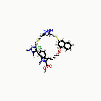 COC(=O)c1c2c3ccc(Cl)c(c3n1C)-c1c(nn(C)c1C)CSCc1cc([nH]n1)CSc1cc(c3ccccc3c1)OCCC2